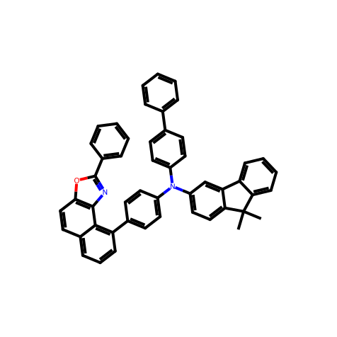 CC1(C)c2ccccc2-c2cc(N(c3ccc(-c4ccccc4)cc3)c3ccc(-c4cccc5ccc6oc(-c7ccccc7)nc6c45)cc3)ccc21